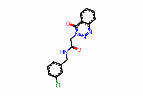 O=C(Cn1nnc2ccccc2c1=O)NCc1cccc(Cl)c1